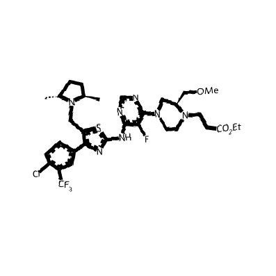 CCOC(=O)CCN1CCN(c2ncnc(Nc3nc(-c4ccc(Cl)c(C(F)(F)F)c4)c(CN4[C@H](C)CC[C@H]4C)s3)c2F)C[C@H]1COC